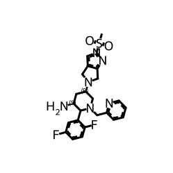 CS(=O)(=O)n1cc2c(n1)CN([C@@H]1C[C@H](N)C(c3cc(F)ccc3F)N(Cc3ccccn3)C1)C2